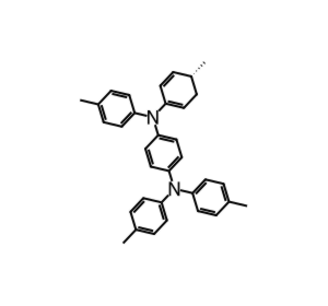 Cc1ccc(N(C2=CC[C@@H](C)C=C2)c2ccc(N(c3ccc(C)cc3)c3ccc(C)cc3)cc2)cc1